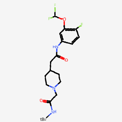 CC(C)(C)NC(=O)CN1CCC(CC(=O)Nc2ccc(F)c(OC(F)F)c2)CC1